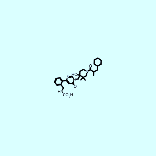 CC(CC1CCCCC1)C(=O)N1CCC(O)(Cn2cnc(-c3ccccc3CNC(=O)O)cc2=O)C(C)(C)C1